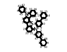 C1=CC(C2=CCC(N(c3ccc(-c4ccccc4)cc3)c3cccc4c3sc3c4ccc4c3c3ccccc3n4-c3ccccc3)C=C2)CCC1